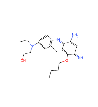 CCCCOC1=CC(=Nc2ccc(N(CC)CCO)cc2C)C(N)=CC1=N